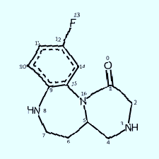 O=C1CNCC2CCNc3ccc(F)cc3N12